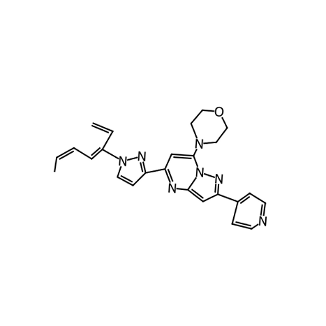 C=C/C(=C\C=C/C)n1ccc(-c2cc(N3CCOCC3)n3nc(-c4ccncc4)cc3n2)n1